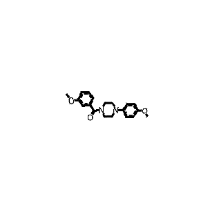 COc1ccc(N2CCN(C(=O)c3cccc(OC)c3)CC2)cc1